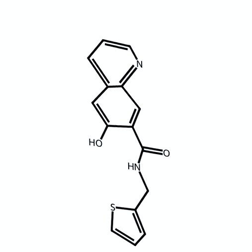 O=C(NCc1cccs1)c1cc2ncccc2cc1O